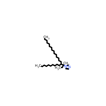 CCCCCCCCCCCCCCCC(CCCCCCCCCC)C(C)(CC)n1ccnc1